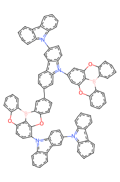 c1ccc2c(c1)Oc1cc(-n3c4ccc(-n5c6ccccc6c6ccccc65)cc4c4ccc(-c5ccc6c(c5)B5c7ccccc7Oc7ccc(-n8c9ccccc9c9cc(-n%10c%11ccccc%11c%11ccccc%11%10)ccc98)c(c75)O6)cc43)cc3c1B2c1ccccc1O3